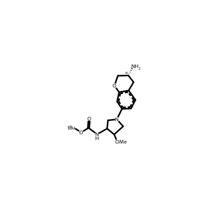 COC1CN(c2ccc3c(c2)OC[C@H](N)C3)CC1NC(=O)OC(C)(C)C